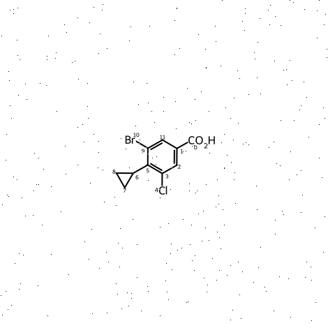 O=C(O)c1cc(Cl)c(C2CC2)c(Br)c1